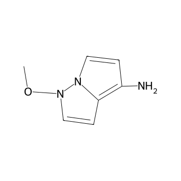 COn1ccc2c(N)ccn21